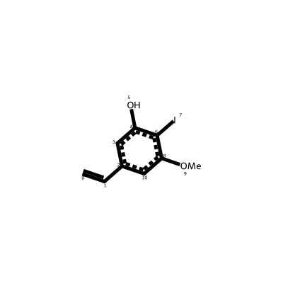 C=Cc1cc(O)c(I)c(OC)c1